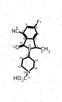 CC1c2cc(F)cc(C#N)c2C(=O)N1C1CCN(C(=O)O)CC1